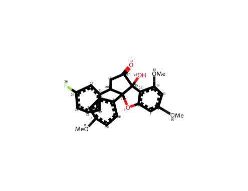 COc1ccc(C23Oc4cc(OC)cc(OC)c4C2(O)C(=O)CC3c2cccc(F)c2)cc1